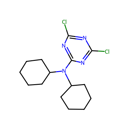 Clc1nc(Cl)nc(N(C2CCCCC2)C2CCCCC2)n1